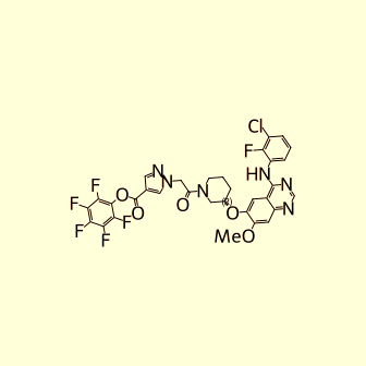 COc1cc2ncnc(Nc3cccc(Cl)c3F)c2cc1O[C@@H]1CCCN(C(=O)Cn2cc(C(=O)Oc3c(F)c(F)c(F)c(F)c3F)cn2)C1